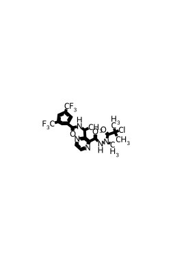 CC(NC(=O)c1cc(C(F)(F)F)cc(C(F)(F)F)c1)c1nccnc1C(=O)NN(C)C(=O)C(C)(C)Cl